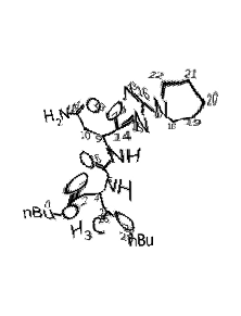 CCCCOC(=O)[C@@H](NC(=O)N[C@@H](CC(N)=O)c1nc(N2CCCCC2)no1)C(C)OCCCC